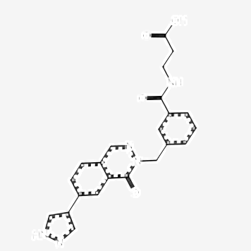 O=C(O)CCNC(=O)c1cccc(Cn2ncc3ccc(-c4cn[nH]c4)cc3c2=O)c1